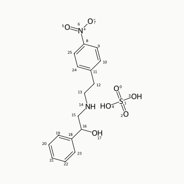 O=S(=O)(O)O.O=[N+]([O-])c1ccc(CCNCC(O)c2ccccc2)cc1